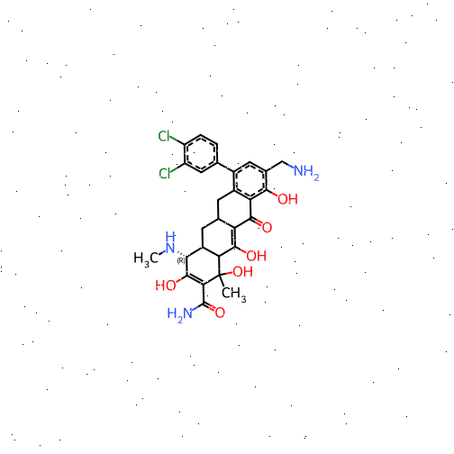 CN[C@H]1C(O)=C(C(N)=O)C(C)(O)C2C(O)=C3C(=O)c4c(O)c(CN)cc(-c5ccc(Cl)c(Cl)c5)c4CC3CC21